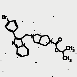 CC(C)OC(=O)N1CC2CN(Cc3c(-c4ccc(Br)cc4)nc4ccccn34)CC2C1